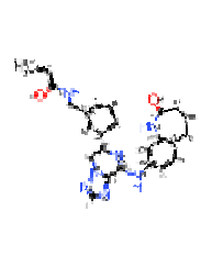 C=CC(=O)NCc1cccc(-c2cn3ncnc3c(Nc3ccc4c(c3)NC(=O)CCC4)n2)c1